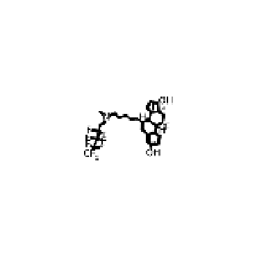 CN(CCCCC[C@@H]1Cc2cc(O)ccc2[C@@H]2[C@@H]1[C@@H]1CC[C@H](O)[C@@]1(C)C[C@@H]2F)CCC(F)(F)C(F)(F)C(F)(F)C(F)(F)F